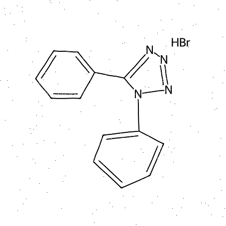 Br.c1ccc(-c2nnnn2-c2ccccc2)cc1